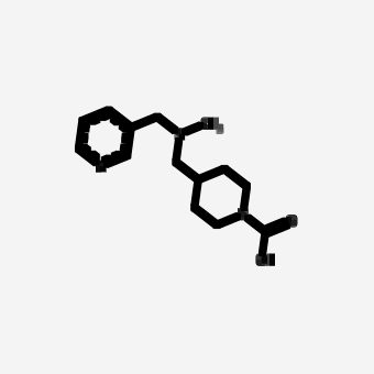 CN(Cc1cccnc1)CC1CCN(C(=O)O)CC1